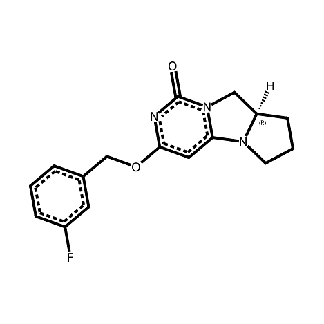 O=c1nc(OCc2cccc(F)c2)cc2n1C[C@H]1CCCN21